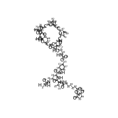 C=C1C2C[C@@H]3O[C@H](CC(O)CNC(=O)OCc4ccc(NC(=O)C(CCCNC(N)=O)NC(=O)[C@@H](NC(=O)CCCCCC(=O)ON5C(=O)CCC5=O)C(C)C)cc4)[C@H](OC)C3CC(=O)CC3CCC4OC5C6O[C@@H]7C[C@@](CCC8CC(=C)[C@H](CCC(C[C@H]1C)O2)O8)(OC57)O[C@H]6[C@H]4O3